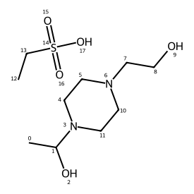 CC(O)N1CCN(CCO)CC1.CCS(=O)(=O)O